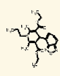 CCCN1C(C)=C(C(=O)OCC)C(c2cccc3nonc23)C(C(=O)OCC)=C1C